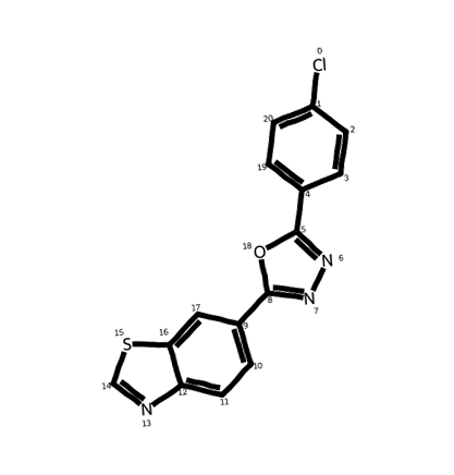 Clc1ccc(-c2nnc(-c3ccc4ncsc4c3)o2)cc1